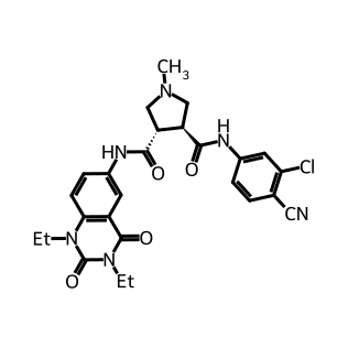 CCn1c(=O)c2cc(NC(=O)[C@@H]3CN(C)C[C@H]3C(=O)Nc3ccc(C#N)c(Cl)c3)ccc2n(CC)c1=O